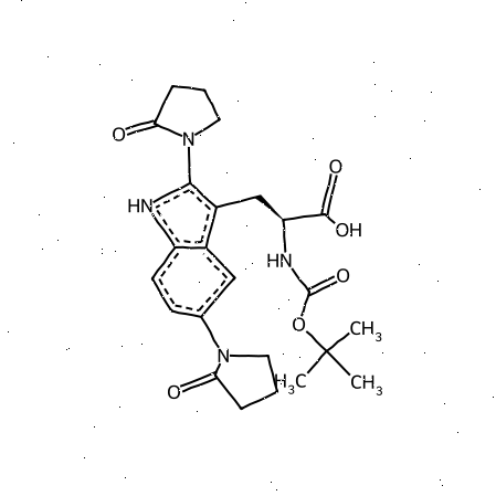 CC(C)(C)OC(=O)N[C@@H](Cc1c(N2CCCC2=O)[nH]c2ccc(N3CCCC3=O)cc12)C(=O)O